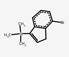 C[Si](C)(C)C1=CCc2c(Br)cccc21